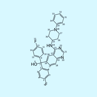 OC(c1ccc(F)cc1)(c1ccc(F)cc1)c1ccc2ncnc(NC3CCN(c4ccccc4)CC3)c2c1